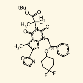 Cc1c(-c2ncco2)sc2c1c(=O)n(C(C)(C)C(=O)OC(C)(C)C)c(=O)n2C[C@H](OC1CCC(F)(F)CC1)c1ccccc1